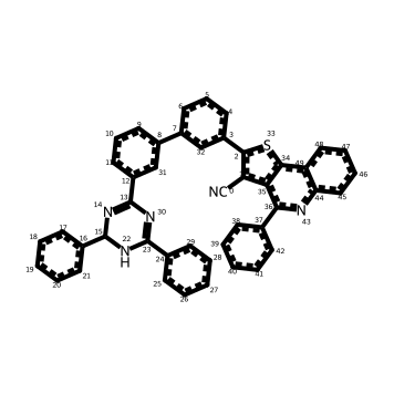 N#Cc1c(-c2cccc(-c3cccc(C4=NC(c5ccccc5)NC(c5ccccc5)=N4)c3)c2)sc2c1c(-c1ccccc1)nc1ccccc12